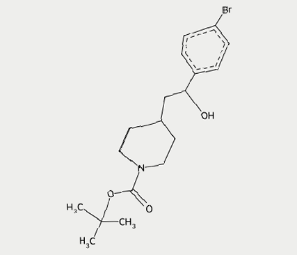 CC(C)(C)OC(=O)N1CCC(CC(O)c2ccc(Br)cc2)CC1